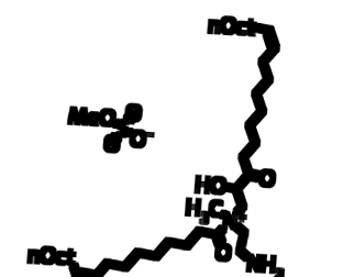 CCCCCCCC/C=C\CCCCCCCC(=O)C(O)C[N+](C)(CCN)C(=O)CCCCCCC/C=C\CCCCCCCC.COS(=O)(=O)[O-]